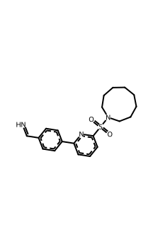 N=Cc1ccc(-c2cccc(S(=O)(=O)N3CCCCCCCC3)n2)cc1